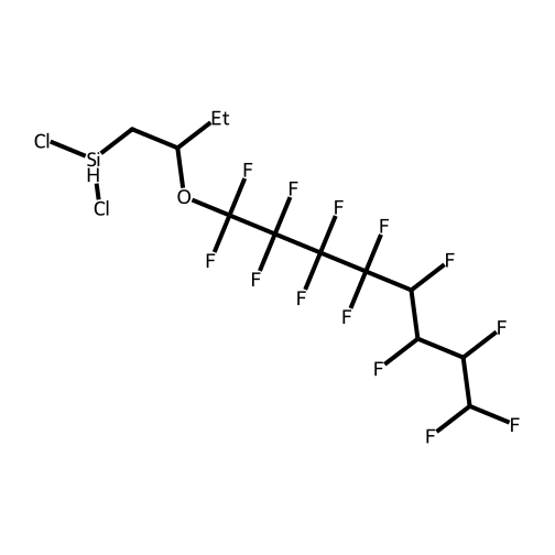 CCC(C[SiH](Cl)Cl)OC(F)(F)C(F)(F)C(F)(F)C(F)(F)C(F)C(F)C(F)C(F)F